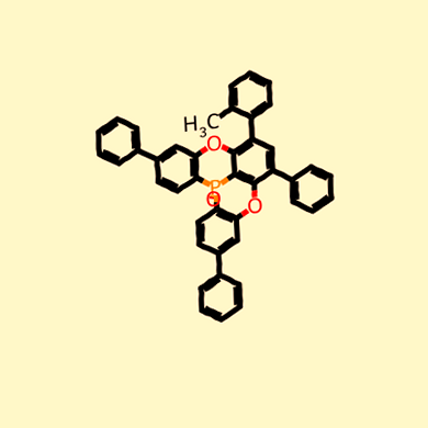 Cc1ccccc1-c1cc(-c2ccccc2)c2c3c1Oc1cc(-c4ccccc4)ccc1P3(=O)c1ccc(-c3ccccc3)cc1O2